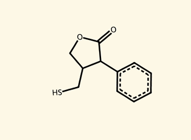 O=C1OCC(CS)C1c1ccccc1